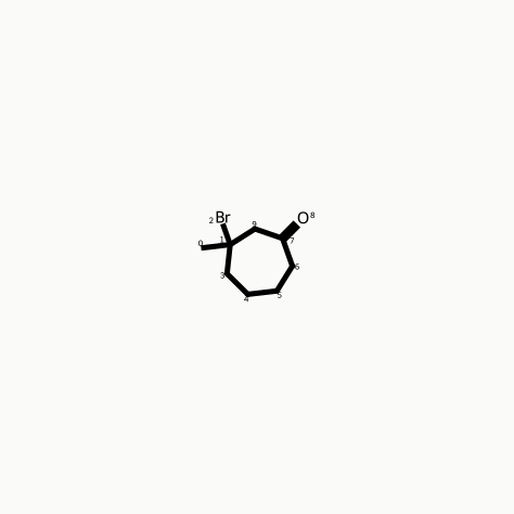 CC1(Br)CCCCC(=O)C1